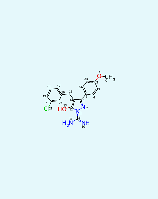 COc1ccc(-c2nn(C(=N)N)c(O)c2Cc2cccc(Cl)c2)cc1